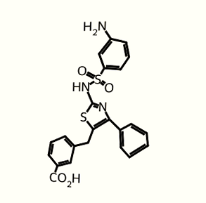 Nc1cccc(S(=O)(=O)Nc2nc(-c3ccccc3)c(Cc3cccc(C(=O)O)c3)s2)c1